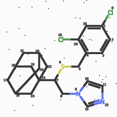 Clc1ccc(CSC(Cn2ccnc2)C23CC4CC(CC(C4)C2)C3)c(Cl)c1